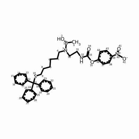 CB(O)N(CCCCCCSC(c1ccccc1)(c1ccccc1)c1ccccc1)CCNC(=O)Oc1ccc([N+](=O)[O-])cc1